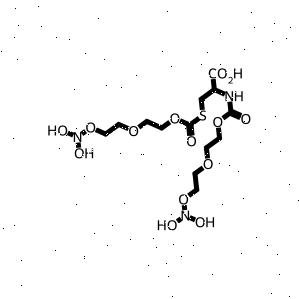 O=C(NC(CSC(=O)OCCOCCON(O)O)C(=O)O)OCCOCCON(O)O